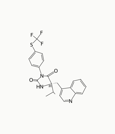 CC(C)[C@@]1(Cc2ccnc3ccccc23)NC(=O)N(c2ccc(SC(F)(F)F)cc2)C1=O